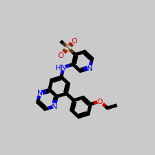 CCOc1cccc(-c2cc(Nc3cnccc3S(C)(=O)=O)cc3nccnc23)c1